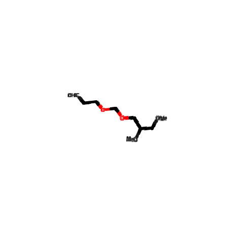 COCC(COCOCCC=O)OC